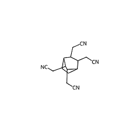 N#CCC1C(CC#N)C2CCC1C(CC#N)C2CC#N